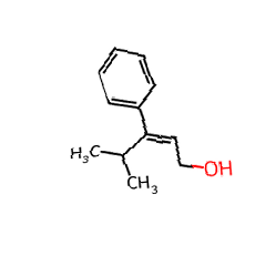 CC(C)C(=CCO)c1ccccc1